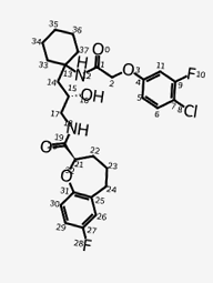 O=C(COc1ccc(Cl)c(F)c1)NC1(C[C@H](O)CNC(=O)[C@H]2CCCc3cc(F)ccc3O2)CCCCC1